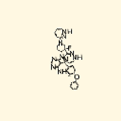 Nc1ncnc2c1c(-c1ccc(Oc3ccccc3)cc1)nn2[C@@H]1CCN(C2=NNC=CC=C2)C[C@]1(F)C1=NNC=CC=C1